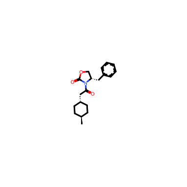 C[C@H]1CC[C@H](CC(=O)N2C(=O)OC[C@@H]2Cc2ccccc2)CC1